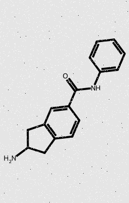 NC1Cc2ccc(C(=O)Nc3ccccc3)cc2C1